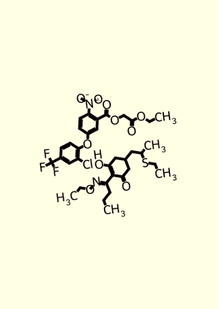 CCC/C(=N\OCC)C1=C(O)CC(CC(C)SCC)CC1=O.CCOC(=O)COC(=O)c1cc(Oc2ccc(C(F)(F)F)cc2Cl)ccc1[N+](=O)[O-]